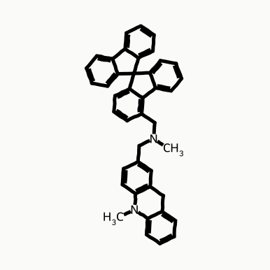 CN(Cc1ccc2c(c1)Cc1ccccc1N2C)Cc1cccc2c1-c1ccccc1C21c2ccccc2-c2ccccc21